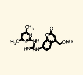 COCc1cc(=O)oc2cc(NC(=N)Nc3nc(C)cc(C)n3)ccc12